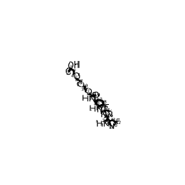 O=C(O)CCOCCOCCOCC(=O)N[C@H]1CCC[C@@H](Nc2nc(-c3c[nH]c4ncc(F)cc34)ncc2F)C1